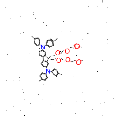 COCCOCCOCCC1(CCOCCOCCOC)c2cc(N(c3ccc(C)cc3)c3ccc(C)cc3)ccc2-c2ccc(N(c3ccc(C)cc3)c3ccc(C)cc3)cc21